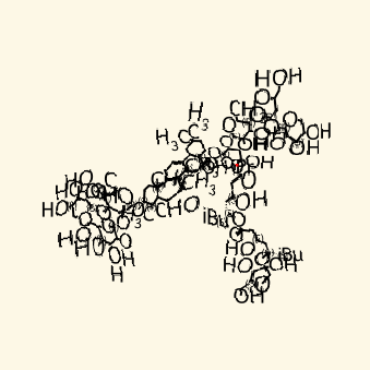 CC[C@H](C)[C@H](C[C@H](O)CC(=O)OC(O)CC(O[C@@H]1OC(C)[C@H](O[C@@H](CC(O)CO)O[C@H]2OCC(O)[C@H](O)C2O)C(O)C1O)[C@H](OC(=O)[C@]12CCC(C)(C)CC1C1=CCC3[C@@]4(C)CC[C@H](O[C@@H]5OC(C(=O)O)[C@H](O)C(O[C@@H]6OC[C@@H](O)C(O)C6O)C5O[C@@H]5OC(CO)[C@H](O)C(O)C5O)[C@@](C)(C=O)C4CC[C@@]3(C)[C@]1(C)C[C@H]2O)OC(C)C)OC(=O)C[C@@H](O)C[C@H](OC1(O)CO[C@@H](CO)C1O)[C@@H](C)CC